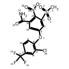 CS(=O)(=O)c1cc(Oc2ccc(C(F)(F)F)cc2Cl)cc(C(N)=O)c1[N+](=O)[O-]